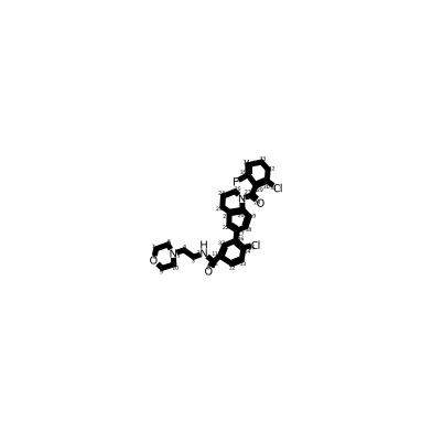 O=C(NCCN1CCOCC1)c1ccc(Cl)c(-c2ccc3c(c2)CCCN3C(=O)C2=C(Cl)CCC=C2F)c1